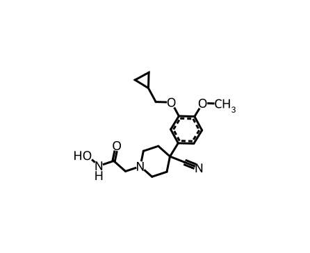 COc1ccc(C2(C#N)CCN(CC(=O)NO)CC2)cc1OCC1CC1